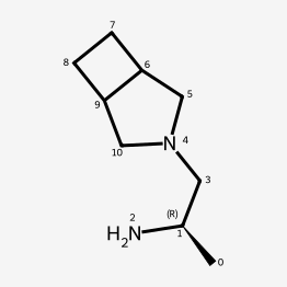 C[C@@H](N)CN1CC2CCC2C1